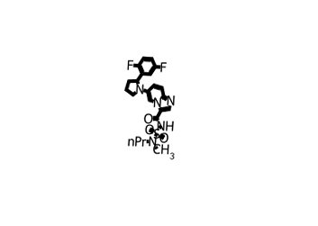 CCCN(C)S(=O)(=O)NC(=O)c1cnc2ccc(N3CCCC3c3cc(F)ccc3F)cn12